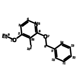 CCOc1ccnc(OCc2ccccc2)c1I